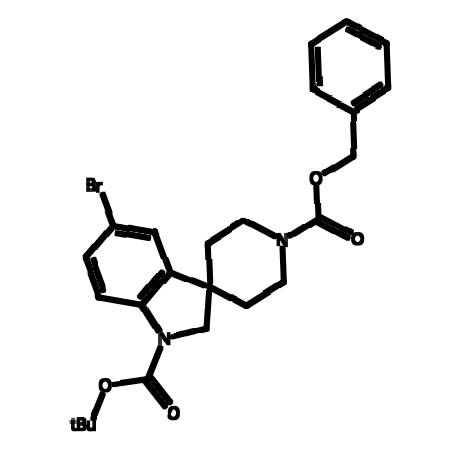 CC(C)(C)OC(=O)N1CC2(CCN(C(=O)OCc3ccccc3)CC2)c2cc(Br)ccc21